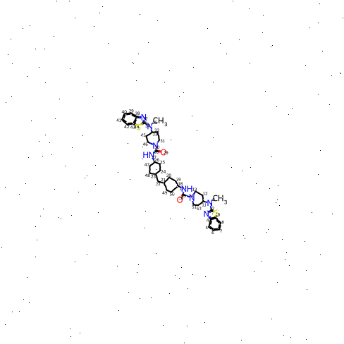 CN(c1nc2ccccc2s1)C1CCN(C(=O)NC2CCC(CC3CCC(NC(=O)N4CCC(N(C)c5nc6ccccc6s5)CC4)CC3)CC2)CC1